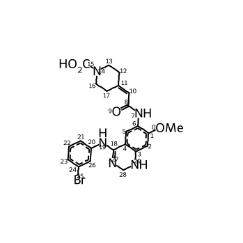 COc1cc2c(cc1NC(=O)C=C1CCN(C(=O)O)CC1)C(Nc1cccc(Br)c1)=NCN2